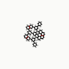 c1ccc(-c2cc(-c3ccccc3)cc(N3c4cc(-c5cc(-c6ccccc6)nc(-c6ccccc6)n5)cc5c4B(c4c3ccc3ccccc43)c3c(ccc4ccccc34)N5c3cc(-c4ccccc4)cc(-c4ccccc4)c3)c2)cc1